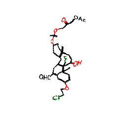 CC(=O)OCC(=O)COC(C)(C)OC1CC2C3CC(C=O)=C4C=C(OCCCl)CCC4(C)C3(F)C(O)CC2(C)C1